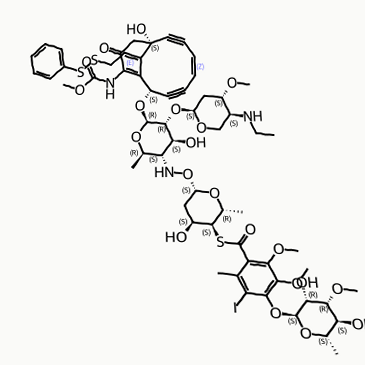 CCN[C@H]1CO[C@@H](O[C@H]2[C@H](O[C@H]3C#C/C=C\C#C[C@]4(O)CC(=O)C(NC(=O)OC)=C3/C4=C\CSSc3ccccc3)O[C@H](C)[C@@H](NO[C@H]3C[C@H](O)[C@H](SC(=O)c4c(C)c(I)c(O[C@@H]5O[C@@H](C)[C@H](O)[C@@H](OC)[C@H]5O)c(OC)c4OC)[C@@H](C)O3)[C@@H]2O)C[C@@H]1OC